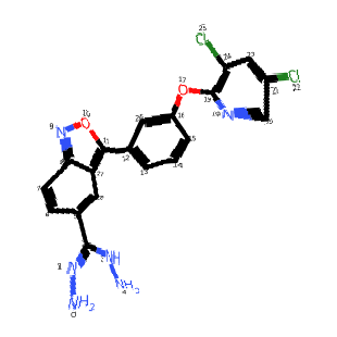 N/N=C(\NN)c1ccc2noc(-c3cccc(Oc4ncc(Cl)cc4Cl)c3)c2c1